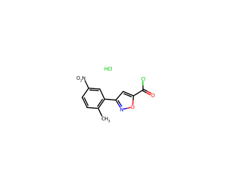 Cc1ccc([N+](=O)[O-])cc1-c1cc(C(=O)Cl)on1.Cl